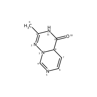 CC1=NN2C=NC=CC2C(=O)N1